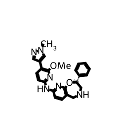 COc1nc(Nc2ccc3c(n2)O[C@H](c2ccccc2)CNC3)ccc1-c1cnn(C)c1